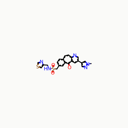 Cn1cc(-c2cnc3ccc4ccc(CS(=O)(=O)NCc5cscn5)cc4c(=O)c3c2)cn1